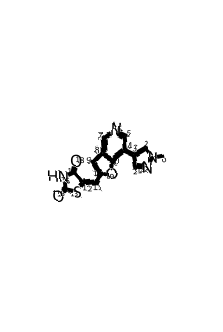 Cn1cc(-c2cncc3cc(C=C4SC(=O)NC4=O)oc23)cn1